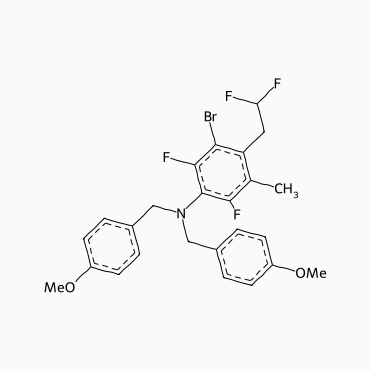 COc1ccc(CN(Cc2ccc(OC)cc2)c2c(F)c(C)c(CC(F)F)c(Br)c2F)cc1